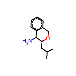 CC(C)C[C@@H]1OCc2ccccc2C1N